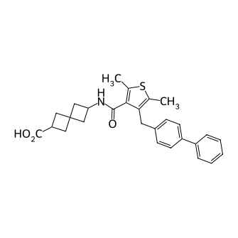 Cc1sc(C)c(C(=O)NC2CC3(C2)CC(C(=O)O)C3)c1Cc1ccc(-c2ccccc2)cc1